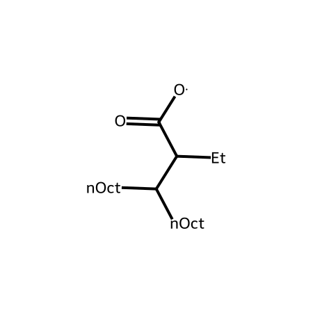 CCCCCCCCC(CCCCCCCC)C(CC)C([O])=O